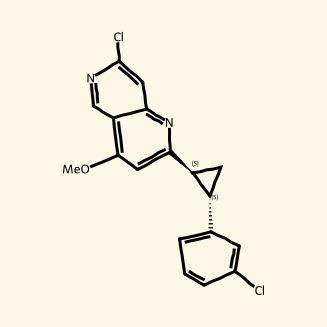 COc1cc([C@H]2C[C@@H]2c2cccc(Cl)c2)nc2cc(Cl)ncc12